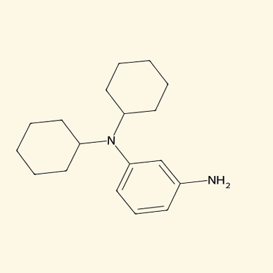 Nc1cccc(N(C2CCCCC2)C2CCCCC2)c1